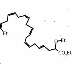 CC/C=C\C/C=C\C/C=C\C/C=C\C/C=C\C/C=C/CC(OCC)C(=O)OCC